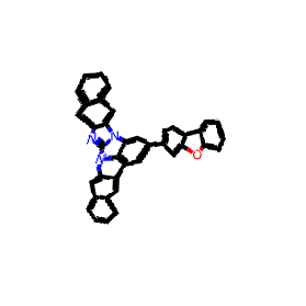 c1ccc2cc3c(cc2c1)nc1n3c2cc(-c3ccc4c(c3)oc3ccccc34)cc3c4cc5ccccc5cc4n1c32